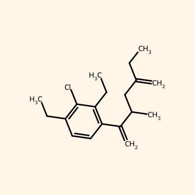 C=C(CC)CC(C)C(=C)c1ccc(CC)c(Cl)c1CC